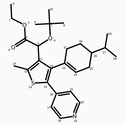 CCOC(=O)C(OC(C)(C)C)c1c(C)sc(-c2ccncc2)c1C1=CCC(C(C)C)CC1